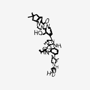 C=CC(=O)Nc1cc(Nc2nc(-c3ccnc(N4CCn5c(cc6c5CC(C)(C)C6)C4=O)c3CO)cn(C)c2=O)ccc1N1CCN(C2C[C@@H]3C[C@H]2CO3)C[C@@H]1C